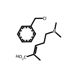 CC(=CCCN(C)C)C(=O)O.ClCc1ccccc1